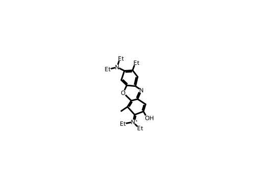 CCc1cc2nc3cc(O)c(=[N+](CC)CC)c(C)c-3oc2cc1N(CC)CC